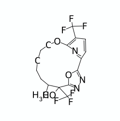 CC1CCCCCOc2nc(ccc2C(F)(F)F)-c2nnc(o2)C1(O)C(F)(F)F